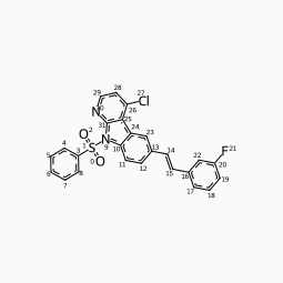 O=S(=O)(c1ccccc1)n1c2ccc(C=Cc3cccc(F)c3)cc2c2c(Cl)ccnc21